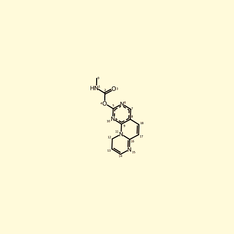 CNC(=O)Oc1ncc2c(n1)N1CC=CN=C1C=C2